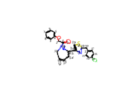 O=C(COc1ccccc1)N1CCCCC1c1csc(Cc2ccc(Cl)cc2)n1